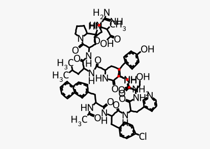 CC(=O)NC(Cc1ccc2ccccc2c1)C(=O)NC(Cc1ccc(Cl)cc1)C(=O)NC(Cc1cccnc1)C(=O)NC(CO)C(=O)NC(Cc1ccc(O)cc1)C(=O)NC(CCCNC(N)=O)C(=O)NC(CC(C)C)C(=O)NC(CCCNC(=N)N)C(=O)N1CCCC1C(=O)NC(C)C(=O)O